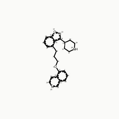 c1cc(OCCCc2cccc3onc(C4CCNCC4)c23)c2ccncc2c1